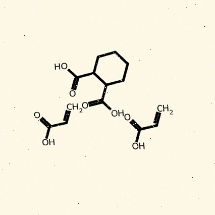 C=CC(=O)O.C=CC(=O)O.O=C(O)C1CCCCC1C(=O)O